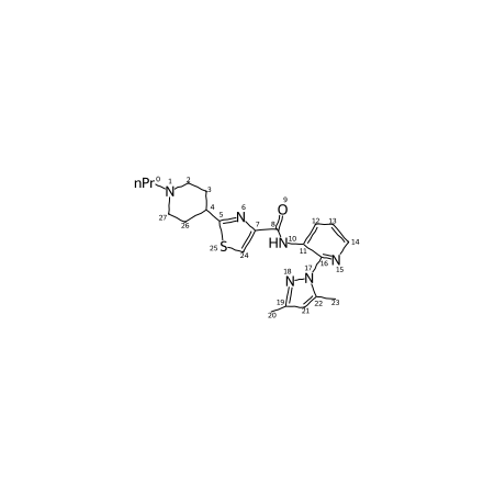 CCCN1CCC(c2nc(C(=O)Nc3cccnc3-n3nc(C)cc3C)cs2)CC1